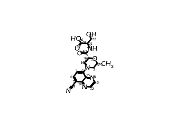 C[C@@H]1CN(c2ccc(C#N)c3nccnc23)C[C@H](C(=O)NC(CO)C(=O)O)O1